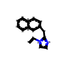 C=Cn1ccnc1Cc1ccc2ccccc2c1